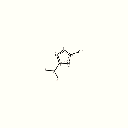 CC(C)c1nc(Cl)c[nH]1